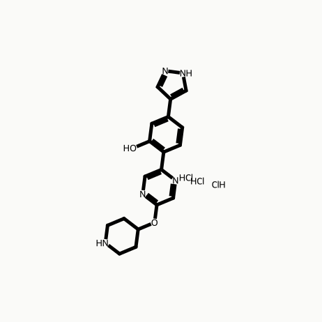 Cl.Cl.Cl.Oc1cc(-c2cn[nH]c2)ccc1-c1cnc(OC2CCNCC2)cn1